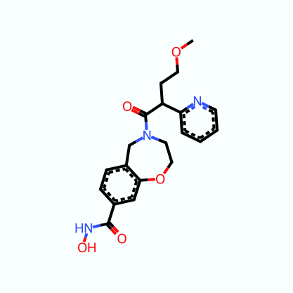 COCCC(C(=O)N1CCOc2cc(C(=O)NO)ccc2C1)c1ccccn1